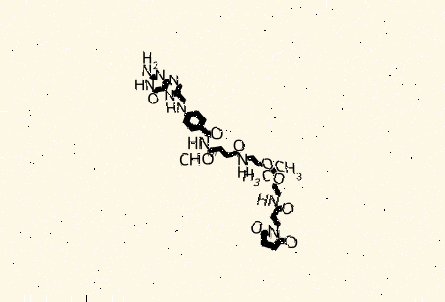 CC(C)(OCCNC(=O)CC[C@@H](C=O)NC(=O)c1ccc(NCc2cnc3nc(N)[nH]c(=O)c3n2)cc1)OCCNC(=O)CCN1C(=O)C=CC1=O